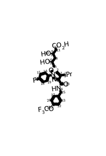 CC(C)C1=C[N+](OC[C@@H](O)C[C@@H](O)CC(=O)O)(c2ccc(F)cc2)N=C1C(=O)NCc1ccc(OC(F)(F)F)cc1